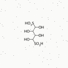 O=S(=O)(O)C(O)C(O)C(O)C(O)S(=O)(=O)O